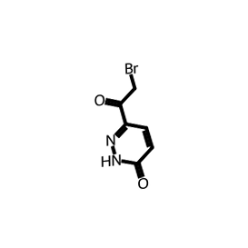 O=C(CBr)c1ccc(=O)[nH]n1